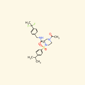 CC(=O)N1CCN(S(=O)(=O)c2ccc(C(C)C)cc2)[C@@H](C(=O)NCc2ccc(C(C)(F)F)cc2)C1